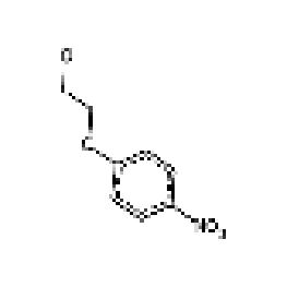 [O]CCOc1ccc([N+](=O)[O-])cc1